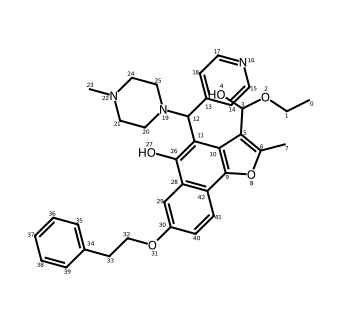 CCOC(O)c1c(C)oc2c1c(C(c1ccncc1)N1CCN(C)CC1)c(O)c1cc(OCCc3ccccc3)ccc12